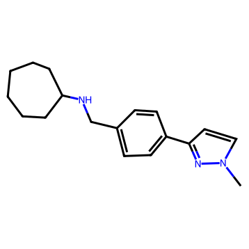 Cn1ccc(-c2ccc(CNC3CCCCCC3)cc2)n1